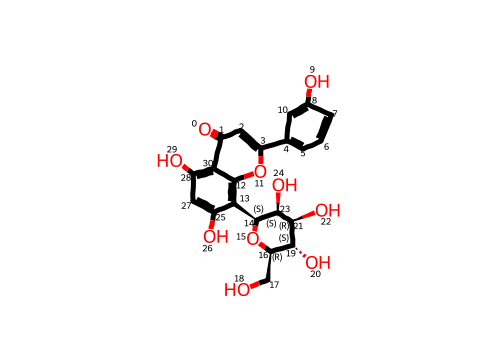 O=c1cc(-c2cccc(O)c2)oc2c([C@@H]3O[C@H](CO)[C@@H](O)[C@H](O)[C@@H]3O)c(O)cc(O)c12